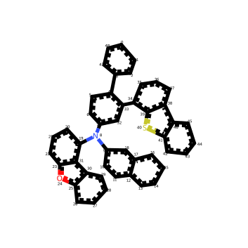 c1ccc(-c2ccc(N(c3ccc4ccccc4c3)c3cccc4oc5ccccc5c34)cc2-c2cccc3c2sc2ccccc23)cc1